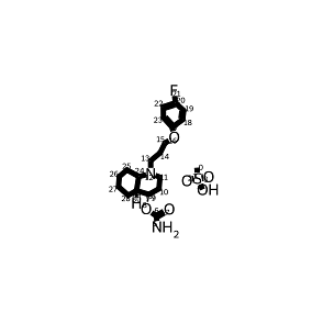 CS(=O)(=O)O.NC(=O)O[C@H]1CCN(CCCOc2ccc(F)cc2)C2CCCC[C@H]21